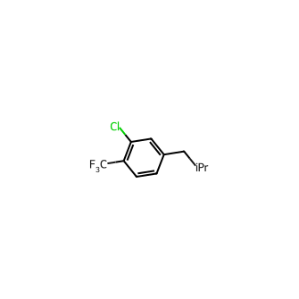 CC(C)Cc1ccc(C(F)(F)F)c(Cl)c1